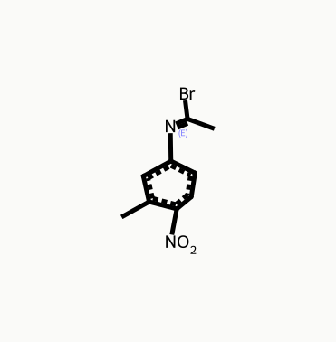 C/C(Br)=N\c1ccc([N+](=O)[O-])c(C)c1